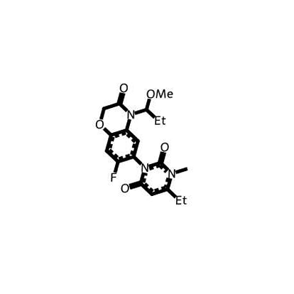 CCc1cc(=O)n(-c2cc3c(cc2F)OCC(=O)N3C(CC)OC)c(=O)n1C